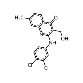 Cc1ccn2c(=O)c(CO)c(Nc3ccc(Cl)c(Cl)c3)nc2c1